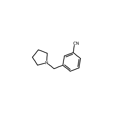 N#Cc1cccc(CN2CCCC2)c1